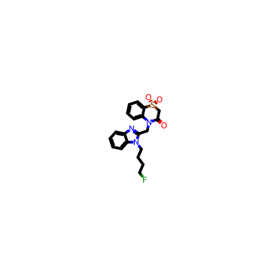 O=C1CS(=O)(=O)c2ccccc2N1Cc1nc2ccccc2n1CCCCF